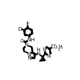 O=C(O)c1cnc(C2(Nc3cnn4c3CN(C(=O)Nc3ccc(F)c(Cl)c3)CC4)CC2)nc1